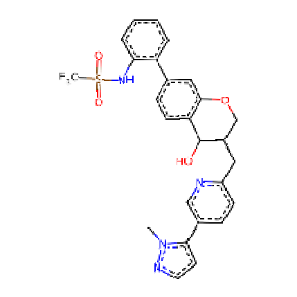 Cn1nccc1-c1ccc(CC2COc3cc(-c4ccccc4NS(=O)(=O)C(F)(F)F)ccc3C2O)nc1